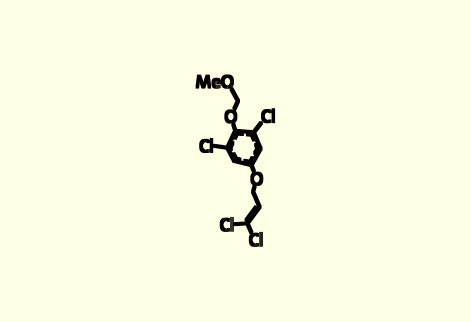 COCOc1c(Cl)cc(OCC=C(Cl)Cl)cc1Cl